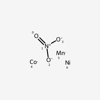 O=[N+]([O-])[O-].[Co].[Mn].[Ni]